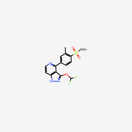 CNS(=O)(=O)c1ccc(-c2nccc3[nH]nc(OC(F)F)c23)cc1C